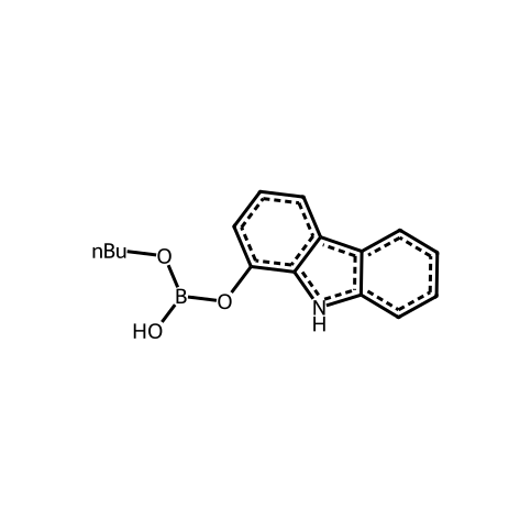 CCCCOB(O)Oc1cccc2c1[nH]c1ccccc12